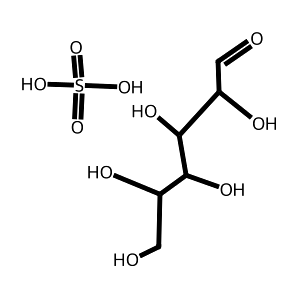 O=CC(O)C(O)C(O)C(O)CO.O=S(=O)(O)O